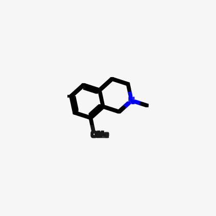 COc1c[c]cc2c1CN(C)CC2